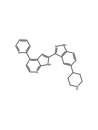 c1ccc(-c2ccnc3[nH]c(-c4n[nH]c5ccc(C6CCNCC6)cc45)cc23)nc1